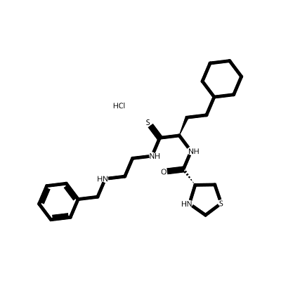 Cl.O=C(N[C@H](CCC1CCCCC1)C(=S)NCCNCc1ccccc1)[C@@H]1CSCN1